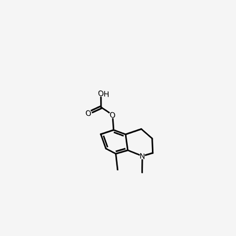 Cc1ccc(OC(=O)O)c2c1N(C)CCC2